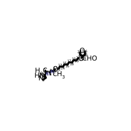 C/C(=C\N=C(/C)c1ccn[nH]1)OCCCCCCCCCCOC1(C=O)CCOCC1